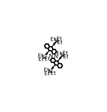 CC[Si](C#Cc1c2ccccc2c(C#C[Si](CC)(CC)CC)c2c1ccc1nc3c(ccc4c(C#C[Si](CC)(CC)CC)c5ccccc5c(C#C[Si](CC)(CC)CC)c43)nc12)(CC)CC